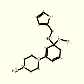 COC1(NCc2ccco2)C=C(N2CCN(C)CC2)C=CC1